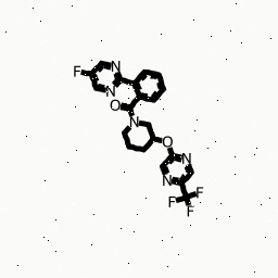 O=C(c1ccccc1-c1ncc(F)cn1)N1CCCC(Oc2cnc(C(F)(F)F)cn2)C1